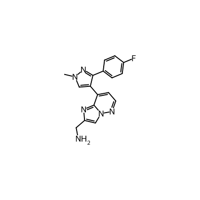 Cn1cc(-c2ccnn3cc(CN)nc23)c(-c2ccc(F)cc2)n1